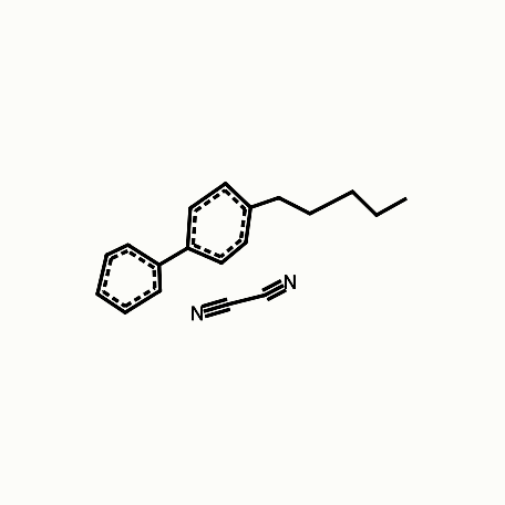 CCCCCc1ccc(-c2ccccc2)cc1.N#CC#N